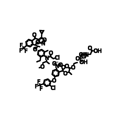 CCOC(=O)C(C)OC(=O)c1cc(Oc2ccc(C(F)(F)F)cc2Cl)ccc1[N+](=O)[O-].CCc1cccc(C)c1N(C(=O)CCl)C(C)COC.CS(=O)(=O)c1cc(C(F)(F)F)ccc1C(=O)c1cnoc1C1CC1.O=C(O)CNCP(=O)(O)O